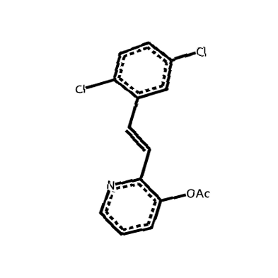 CC(=O)Oc1cccnc1C=Cc1cc(Cl)ccc1Cl